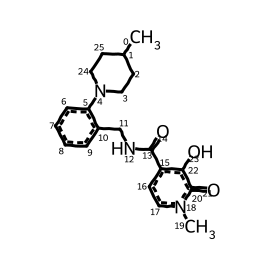 CC1CCN(c2ccccc2CNC(=O)c2ccn(C)c(=O)c2O)CC1